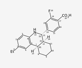 CCc1ccc2c(c1)[C@@H]1CCCC[C@@H]1[C@@H](c1ccc(C(=O)O)c(F)c1)N2